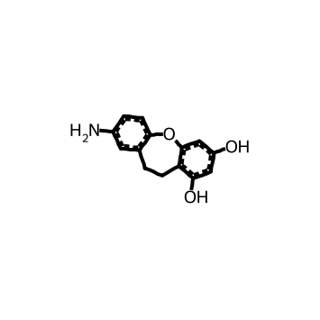 Nc1ccc2c(c1)CCc1c(O)cc(O)cc1O2